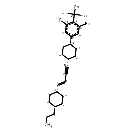 CCC[C@H]1CC[C@H](/C=C/C#C[C@H]2CC[C@H](c3cc(F)c(C(F)(F)F)c(F)c3)CC2)CC1